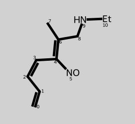 C=C/C=C\C(N=O)=C(/C)CNCC